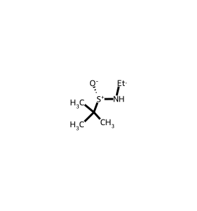 C[CH]N[S@@+]([O-])C(C)(C)C